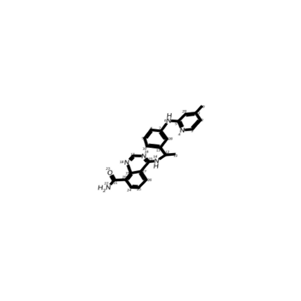 Cc1ccnc(Nc2cccc(C(C)Nc3ncnc4c(C(N)=O)cccc34)c2)c1